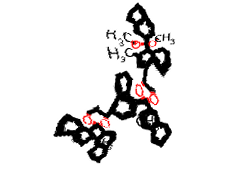 COC(OC)(c1ccc2ccccc2c1)c1c(C)cc(C2COC(c3ccc4ccccc4c3)(c3c(C)cc(C4CCOC(c5ccc6ccccc6c5)(c5c(C)ccc6ccccc56)O4)c4ccccc34)O2)c2ccccc12